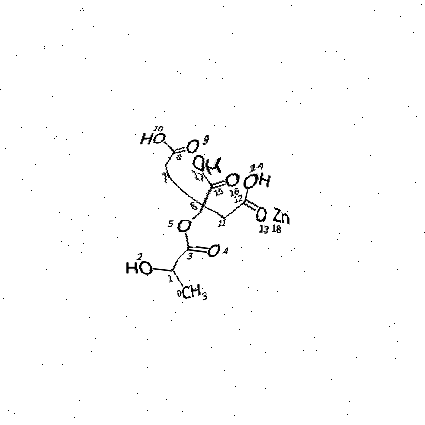 CC(O)C(=O)OC(CC(=O)O)(CC(=O)O)C(=O)O.[Zn]